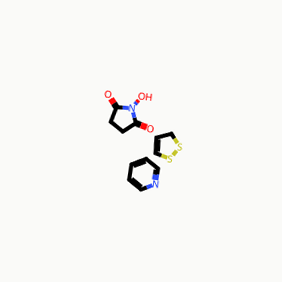 C1=CSSC1.O=C1CCC(=O)N1O.c1ccncc1